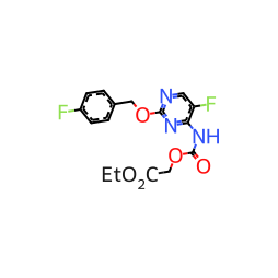 CCOC(=O)COC(=O)Nc1nc(OCc2ccc(F)cc2)ncc1F